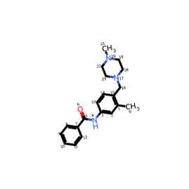 Cc1cc(NC(=O)c2ccccc2)ccc1CN1CCN(C)CC1